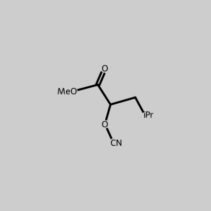 COC(=O)C(CC(C)C)OC#N